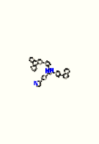 c1cncc(-c2ccc(-c3cc(-c4ccc(-c5cccc6ccccc56)cc4)nc(-c4cccc(-c5ccc6c7ccccc7c7ccccc7c6c5)c4)n3)cc2)c1